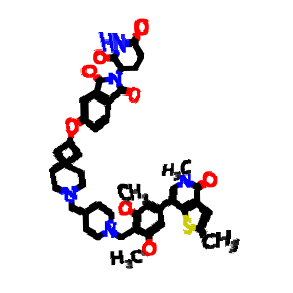 COc1cc(-c2cn(C)c(=O)c3cc(C)sc23)cc(OC)c1CN1CCC(CN2CCC3(CC2)CC(Oc2ccc4c(c2)C(=O)N(C2CCC(=O)NC2=O)C4=O)C3)CC1